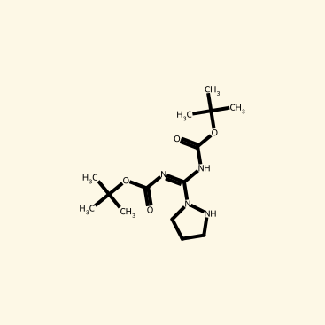 CC(C)(C)OC(=O)/N=C(/NC(=O)OC(C)(C)C)N1CCCN1